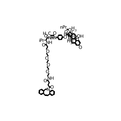 CCC[C@@H]1O[C@@H]2C[C@H]3[C@@H]4CCC5=CC(=O)C=C[C@]5(C)[C@H]4[C@@H](O)C[C@]3(C)[C@]2(C(=O)COc2ccc(NC(=O)[C@H](C)NC(=O)[C@@H](NC(=O)CCOCCOCCOCCOCCNC(=O)CCC(=O)N3Cc4ccccc4/C=C\c4ccccc43)C(C)C)cc2)O1